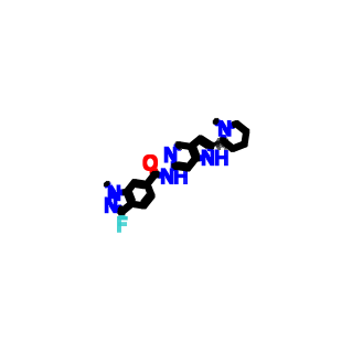 CN1CCCC[C@@H]1c1cc2cnc(NC(=O)c3ccc4c(F)nn(C)c4c3)cc2[nH]1